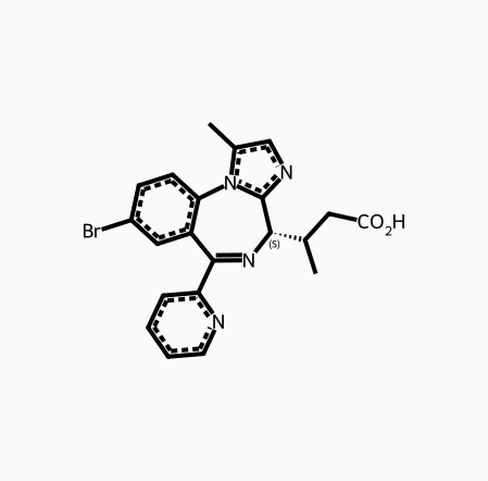 Cc1cnc2n1-c1ccc(Br)cc1C(c1ccccn1)=N[C@H]2C(C)CC(=O)O